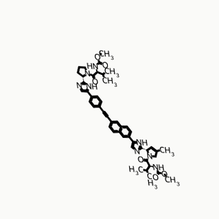 COC(=O)N[C@H](C(=O)N1CC(C)=C[C@H]1c1ncc(-c2ccc3cc(C#Cc4ccc(-c5cnc([C@@H]6CCCN6C(=O)[C@@H](NC(=O)OC)C(C)C)[nH]5)cc4)ccc3c2)[nH]1)C(C)C